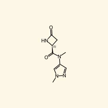 CN(C(=O)[C@@H]1CC(=O)N1)c1cnn(C)c1